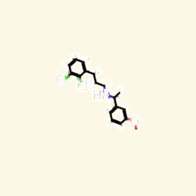 COc1cccc(C(C)NCCCc2cccc(Cl)c2Cl)c1